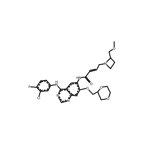 COCC1CCN1CC=CC(=O)Nc1cc2c(Nc3ccc(F)c(Cl)c3)ncnc2cc1OCC1COCCO1